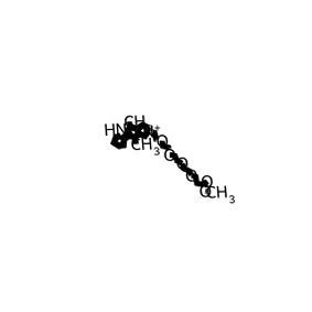 COC(=O)CCOCCOCCOCCOCC[n+]1ccc2c(C)c3[nH]c4ccccc4c3c(C)c2c1